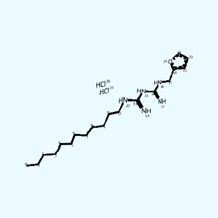 CCCCCCCCCCCCNC(=N)NC(=N)NCc1ccco1.Cl.Cl